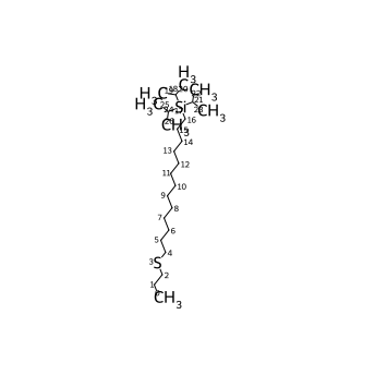 CCCSCCCCCCCCCCCCC[Si](C(C)C)(C(C)C)C(C)C